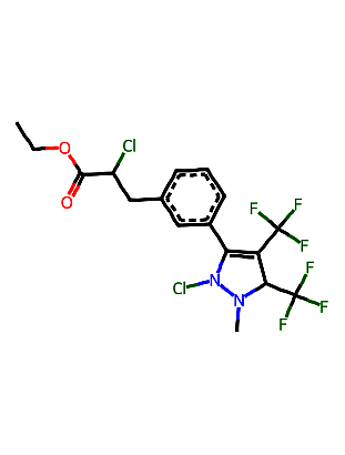 CCOC(=O)C(Cl)Cc1cccc(C2=C(C(F)(F)F)C(C(F)(F)F)N(C)N2Cl)c1